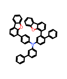 c1ccc(-c2cccc(N(c3ccc(-c4cccc5c4oc4ccccc45)cc3)c3ccc(-c4ccccc4)c(-c4cccc5c4oc4ccccc45)c3)c2)cc1